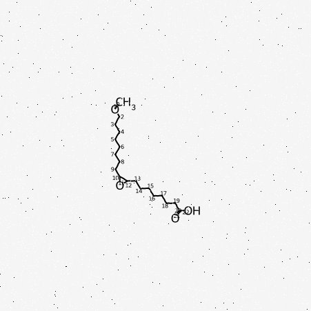 COCCCCCCCCC1OC1CCCCCCCC(=O)O